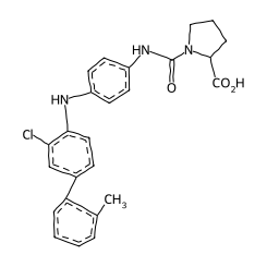 Cc1ccccc1-c1ccc(Nc2ccc(NC(=O)N3CCCC3C(=O)O)cc2)c(Cl)c1